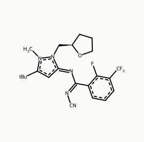 Cn1c(C(C)(C)C)c/c(=N\C(=N\C#N)c2cccc(C(F)(F)F)c2F)n1C[C@H]1CCCO1